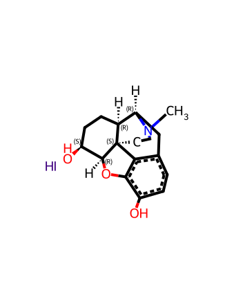 CN1CC[C@]23c4c5ccc(O)c4O[C@H]2[C@@H](O)CC[C@H]3[C@H]1C5.I